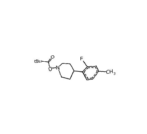 Cc1ccc(C2CCN(OC(=O)C(C)(C)C)CC2)c(F)c1